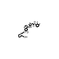 COc1cc2c(Nc3cnn(CC(=O)Nc4cccc(F)c4F)c3)ncnc2cc1OCCCN1CCCCC1CCO